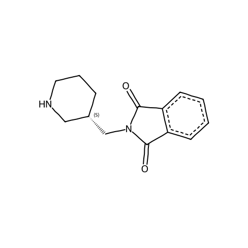 O=C1c2ccccc2C(=O)N1C[C@H]1CCCNC1